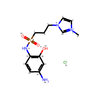 C[n+]1ccn(CCCS(=O)(=O)Nc2ccc(N)cc2O)c1.[Cl-]